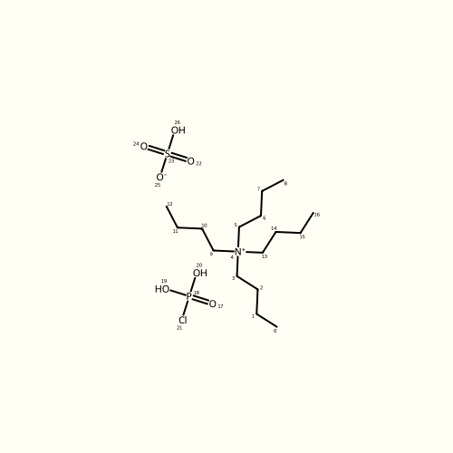 CCCC[N+](CCCC)(CCCC)CCCC.O=P(O)(O)Cl.O=S(=O)([O-])O